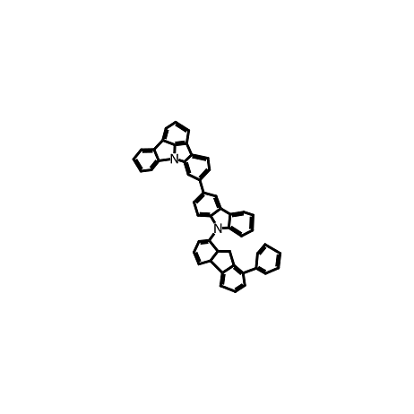 C1=CC2c3cccc(-c4ccccc4)c3CC2C(n2c3ccccc3c3cc(-c4ccc5c6cccc7c8ccccc8n(c5c4)c76)ccc32)=C1